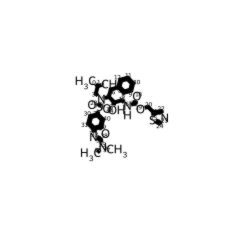 CC(C)CN(C(Cc1ccccc1)C(O)CNC(=O)OCc1cncs1)S(=O)(=O)c1ccc2nc(N(C)C)oc2c1